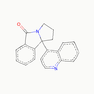 O=C1c2ccccc2C2(c3ccnc4ccccc34)CCCN12